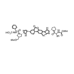 COCC1C[C@@H](c2ncc(-c3ccc4c(c3)c(=O)oc3cc5c(ccc6nc([C@@H]7CC[C@H](C)N7C(=O)[C@@H](NC(=O)OC)C(C)C)[nH]c65)cc34)[nH]2)N(C(=O)[C@H](NC(=O)O)c2ccccc2)C1